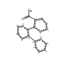 O=C(O)c1cccnc1-c1ncccc1-c1ccccn1